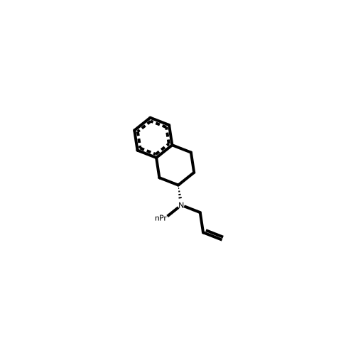 C=CCN(CCC)[C@H]1CCc2ccccc2C1